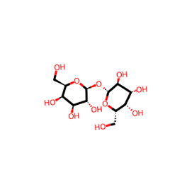 OC[C@@H]1O[C@H](O[C@@H]2O[C@H](CO)[C@H](O)[C@H](O)[C@H]2O)[C@@H](O)[C@H](O)[C@@H]1O